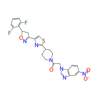 O=C(Cn1cnc2cc([N+](=O)[O-])ccc21)N1CCC(c2nc(C3=NOC(c4c(F)cccc4F)C3)cs2)CC1